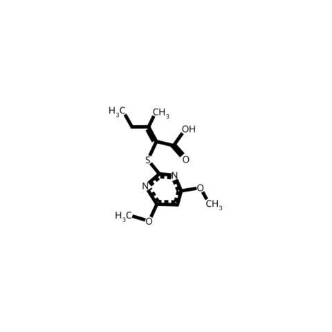 CC/C(C)=C(\Sc1nc(OC)cc(OC)n1)C(=O)O